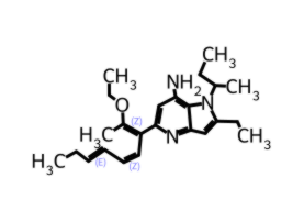 CC/C=C/C=C\C(=C(/C)OCC)c1cc(N)c2c(cc(CC)n2C(C)CC)n1